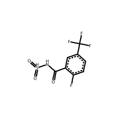 O=C(N[SH](=O)=O)c1cc(C(F)(F)F)ccc1F